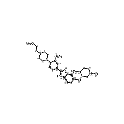 COCCN1CCN(c2ccc(-c3nc4c(NC5CCN(C(C)C)CC5)c(Cl)cnc4[nH]3)cc2OC)CC1